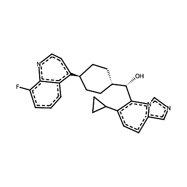 O[C@H](c1c(C2CC2)ccc2cncn12)[C@H]1CC[C@H](c2ccnc3c(F)cccc32)CC1